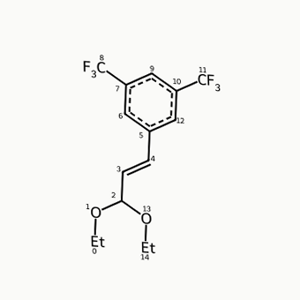 CCOC(/C=C/c1cc(C(F)(F)F)cc(C(F)(F)F)c1)OCC